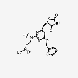 CCN(CC)CCN(C)c1nc(C=C2SC(=O)NC2=O)cc(OCc2ccco2)n1